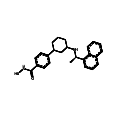 C[C@@H](NC1CCCC(c2ccc(C(=O)NO)cc2)C1)c1cccc2ccccc12